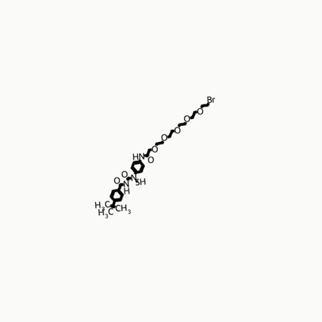 CC(C)(C)c1ccc(C(=O)NC(=O)N(S)c2ccc(NC(=O)COCCOCCOCCOCCOCCBr)cc2)cc1